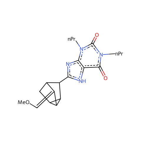 CCCn1c(=O)c2[nH]c(C3C4CC5C(/C4=C/OC)C53)nc2n(CCC)c1=O